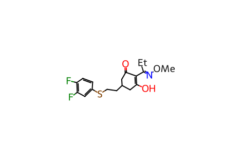 CC/C(=N\OC)C1=C(O)CC(CCSc2ccc(F)c(F)c2)CC1=O